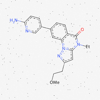 CCn1c(=O)c2ccc(-c3ccc(N)nc3)cc2n2nc(CCOC)cc12